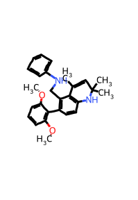 COc1cccc(OC)c1-c1ccc2c(c1CNc1ccccc1)C(C)=CC(C)(C)N2